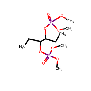 CCC(OP(=O)(OC)OC)C(CC)OP(=O)(OC)OC